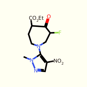 CCOC(=O)C1CCN(c2c([N+](=O)[O-])cnn2C)CC(F)C1=O